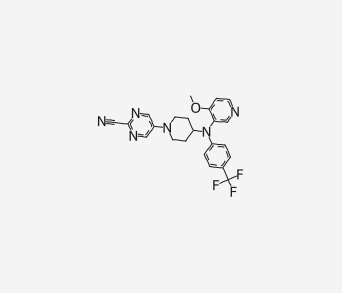 COc1ccncc1N(c1ccc(C(F)(F)F)cc1)C1CCN(c2cnc(C#N)nc2)CC1